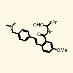 CCCC(C=O)NC(=O)c1cc(OC)ccc1/C=C/c1ccc(CN(C)C)cc1